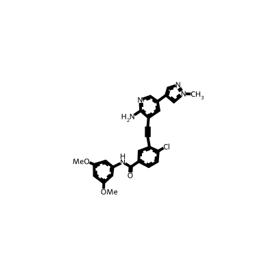 COc1cc(NC(=O)c2ccc(Cl)c(C#Cc3cc(-c4cnn(C)c4)cnc3N)c2)cc(OC)c1